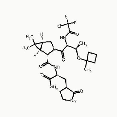 C[C@@H](OC1(C)CCC1)[C@H](NC(=O)C(F)(F)Cl)C(=O)N1C[C@H]2[C@@H]([C@H]1C(=O)N[C@@H](C[C@@H]1CCNC1=O)C(N)=O)C2(C)C